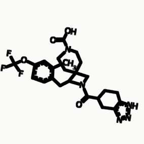 Cc1cc(OC(F)(F)F)ccc1CC1N(C(=O)C2CCc3[nH]nnc3C2)CC12CCN(C(=O)O)CC2